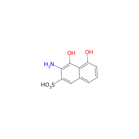 Nc1c(S(=O)(=O)O)cc2cccc(O)c2c1O